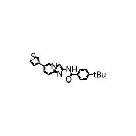 CC(C)(C)c1ccc(C(=O)Nc2cn3cc(-c4ccsc4)ccc3n2)cc1